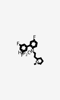 CN1CCCC1CCN(C(=O)O)c1ccc(F)cc1-c1cc(F)cc(F)c1